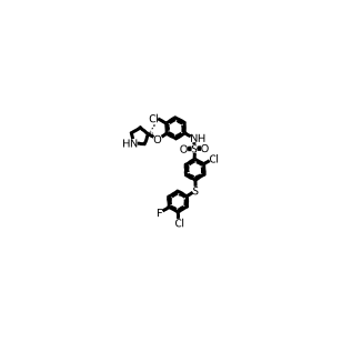 C[C@@]1(Oc2cc(NS(=O)(=O)c3ccc(Sc4ccc(F)c(Cl)c4)cc3Cl)ccc2Cl)CCNC1